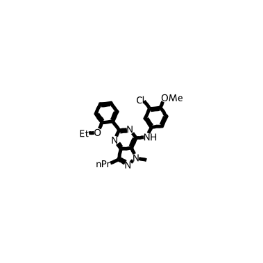 CCCc1nn(C)c2c(Nc3ccc(OC)c(Cl)c3)nc(-c3ccccc3OCC)nc12